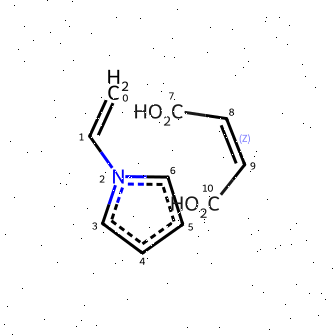 C=Cn1cccc1.O=C(O)/C=C\C(=O)O